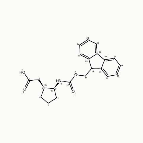 O=C(O)C[C@@H]1CCC[C@@H]1NC(=O)OCC1c2ccccc2-c2ccccc21